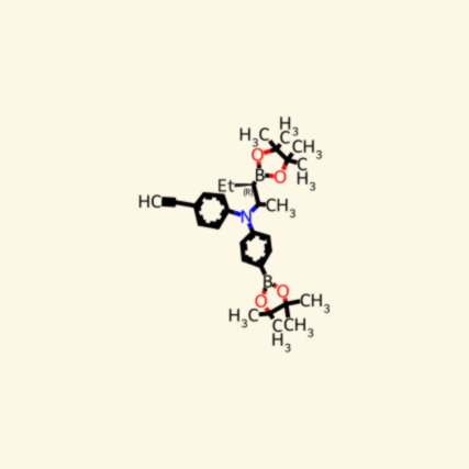 C#Cc1ccc(N(c2ccc(B3OC(C)(C)C(C)(C)O3)cc2)C(C)[C@@H](CC)B2OC(C)(C)C(C)(C)O2)cc1